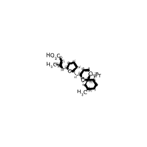 CC(C)[C@@H]1CC[C@@H](C)C[C@@]12OCC[C@@H](C[C@H]1CCC[C@@H](C[C@@H](C)CC(=O)O)O1)O2